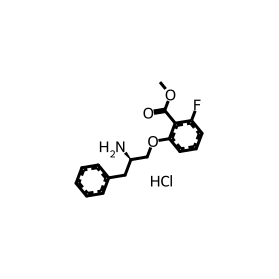 COC(=O)c1c(F)cccc1OC[C@H](N)Cc1ccccc1.Cl